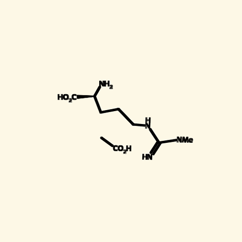 CC(=O)O.CNC(=N)NCCC[C@H](N)C(=O)O